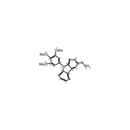 COc1cc(-n2c3ccccc3c3cc(CN)ncc32)cc(OC)c1OC